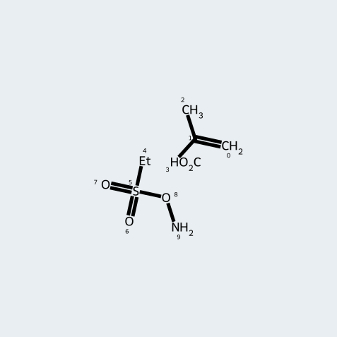 C=C(C)C(=O)O.CCS(=O)(=O)ON